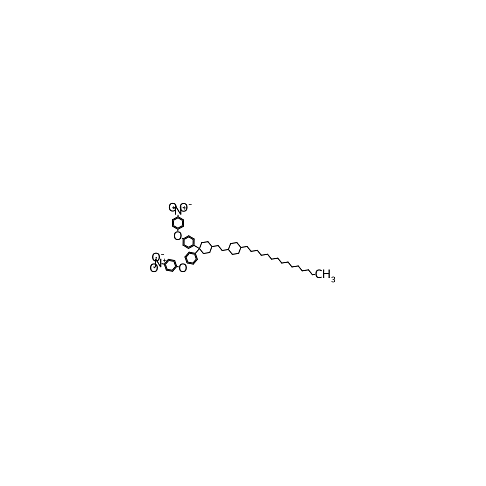 CCCCCCCCCCCCCCCC1CCC(CCC2CCC(c3ccc(Oc4ccc([N+](=O)[O-])cc4)cc3)(c3ccc(Oc4ccc([N+](=O)[O-])cc4)cc3)CC2)CC1